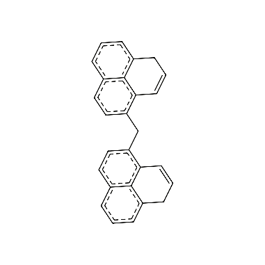 C1=Cc2c(Cc3ccc4cccc5c4c3C=CC5)ccc3cccc(c23)C1